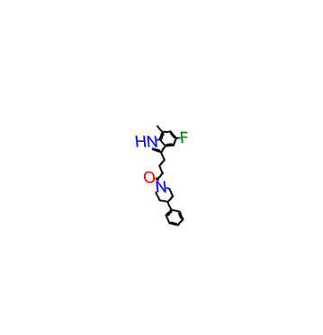 Cc1cc(F)cc2c(CCCC(=O)N3CCC(c4ccccc4)CC3)c[nH]c12